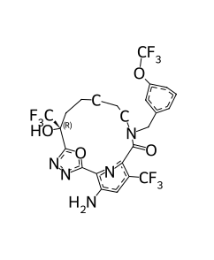 Nc1cc(C(F)(F)F)c2nc1-c1nnc(o1)[C@@](O)(C(F)(F)F)CCCCCN(Cc1cccc(OC(F)(F)F)c1)C2=O